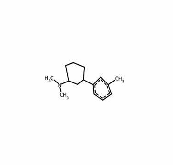 Cc1cccc(C2CCCC(N(C)C)C2)c1